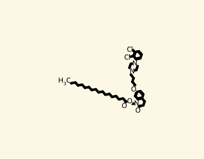 CCCCCCCCCCCCCCCCCC(=O)OCN1C(=O)CCc2ccc(OCCCCN3CCN(c4cccc(Cl)c4Cl)CC3)cc21